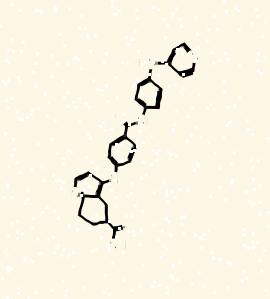 NC(=O)C1CCc2nccc(Nc3ccc(C(=O)Nc4ccc(Nc5c#cncc5)cc4)cc3)c2C1